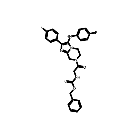 O=C(NCC(=O)N1CCn2c(nc(-c3ccc(F)cc3)c2Nc2ccc(F)cc2)C1)OCc1ccccc1